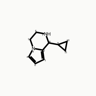 c1cc2n(c1)CCNC2C1CC1